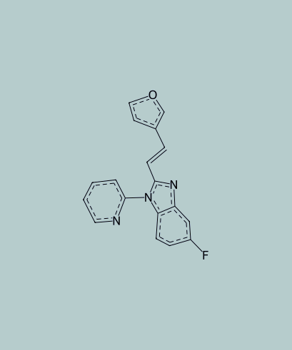 Fc1ccc2c(c1)nc(C=Cc1ccoc1)n2-c1ccccn1